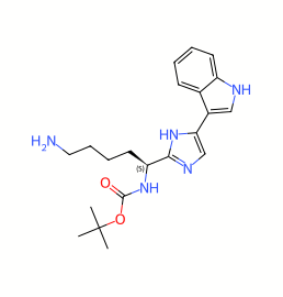 CC(C)(C)OC(=O)N[C@@H](CCCCN)c1ncc(-c2c[nH]c3ccccc23)[nH]1